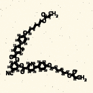 C=CC(=O)OCCCCCCOc1ccc(-c2ccc(C(=O)Oc3ccc(C#N)cc3OC(=O)c3ccc(-c4ccc(OCCCCCCOC(=O)C=C)cc4)nc3)cn2)cc1